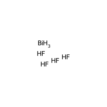 F.F.F.F.[BiH3]